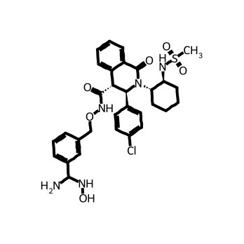 CS(=O)(=O)N[C@H]1CCCC[C@@H]1N1C(=O)c2ccccc2[C@@H](C(=O)NOCc2cccc(C(N)NO)c2)[C@@H]1c1ccc(Cl)cc1